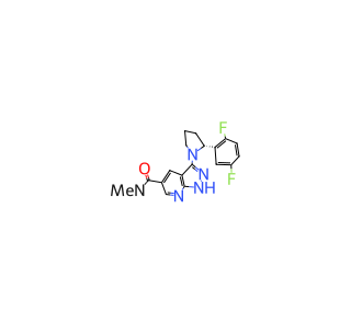 CNC(=O)c1cnc2[nH]nc(N3CCC[C@@H]3c3cc(F)ccc3F)c2c1